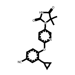 CC1(C)C(=O)NC(=O)N1c1ccc(Oc2ccc(C#N)cc2C2CC2)nc1